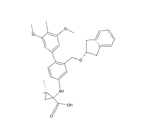 COc1cc(-c2ccc(NC3(C(=O)O)C[C@@H]3C)cc2COC2Cc3ccccc3C2)cc(OC)c1C